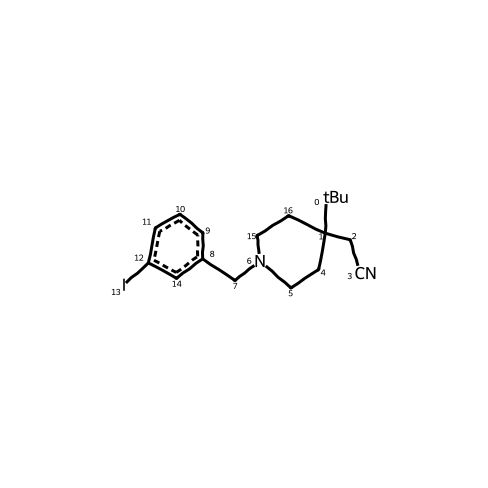 CC(C)(C)C1(CC#N)CCN(Cc2cccc(I)c2)CC1